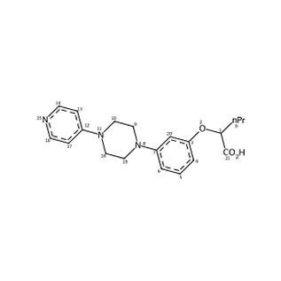 CCCC(Oc1cccc(N2CCN(c3ccncc3)CC2)c1)C(=O)O